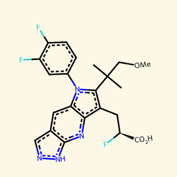 COCC(C)(C)c1c(C[C@H](F)C(=O)O)c2nc3[nH]ncc3cc2n1-c1ccc(F)c(F)c1